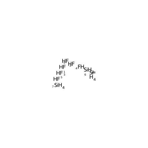 F.F.F.F.F.F.[SiH4].[SiH4].[SiH4]